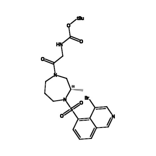 C[C@H]1CN(C(=O)CNC(=O)OC(C)(C)C)CCCN1S(=O)(=O)c1cccc2cncc(Br)c12